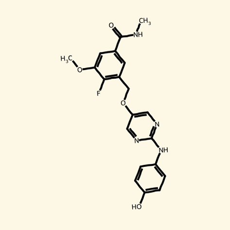 CNC(=O)c1cc(COc2cnc(Nc3ccc(O)cc3)nc2)c(F)c(OC)c1